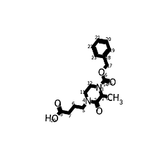 CC1C(=O)N(CCCC(=O)O)CCN1C(=O)OCc1ccccc1